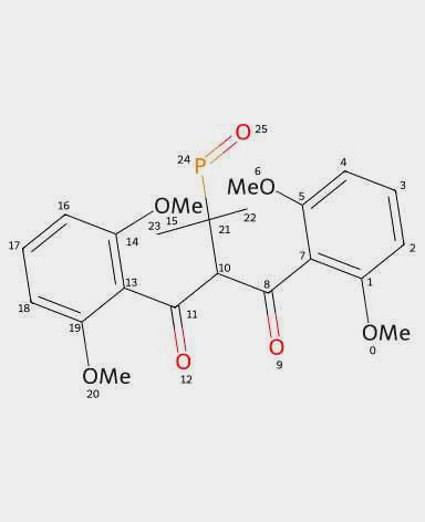 COc1cccc(OC)c1C(=O)C(C(=O)c1c(OC)cccc1OC)C(C)(C)P=O